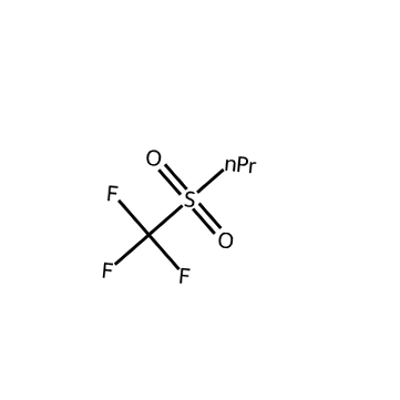 [CH2]CCS(=O)(=O)C(F)(F)F